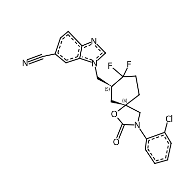 N#Cc1ccc2ncn(C[C@@H]3C[C@@]4(CCC3(F)F)CN(c3ccccc3Cl)C(=O)O4)c2c1